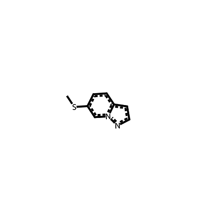 CSc1ccc2ccnn2c1